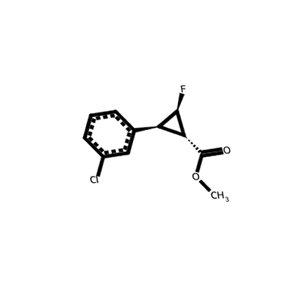 COC(=O)[C@H]1[C@H](F)[C@@H]1c1cccc(Cl)c1